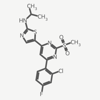 CC(C)Nc1ncc(-c2cc(-c3ccc(F)cc3Cl)nc(S(C)(=O)=O)n2)s1